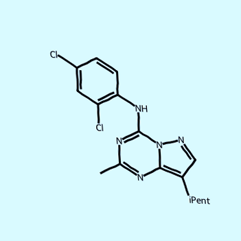 CCCC(C)c1cnn2c(Nc3ccc(Cl)cc3Cl)nc(C)nc12